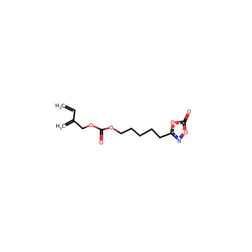 C=CC(=C)COC(=O)OCCCCCc1noc(=O)o1